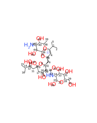 CC(C)/C=C/[C@@H](C[C@@H]1O[C@](O)(C[C@@H](O)C(C)C)C[C@H](O)[C@H]1C(=O)NC1C(O)OC(CO)C(O)C1O)OC1OC(C)C(O)C(N)C1O